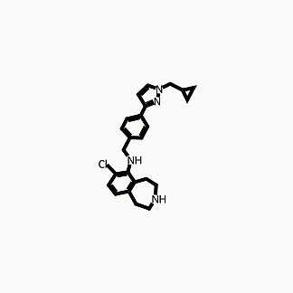 Clc1ccc2c(c1NCc1ccc(-c3ccn(CC4CC4)n3)cc1)CCNCC2